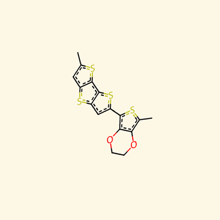 Cc1cc2sc3cc(-c4sc(C)c5c4OCCO5)sc3c2s1